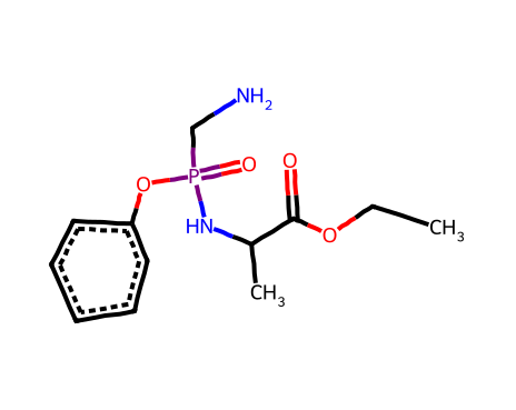 CCOC(=O)C(C)NP(=O)(CN)Oc1ccccc1